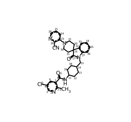 Cc1ncc(Cl)cc1C(=O)NC1CCC(CN2C(=O)C3(CCN(c4cccnc4C#N)CC3)c3ccccc32)CC1